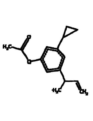 [CH2]C(C=C)c1cc(OC(C)=O)cc(C2CC2)c1